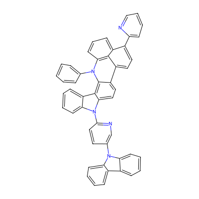 c1ccc(N2c3cccc4c(-c5ccccn5)ccc(c34)-c3ccc4c(c32)c2ccccc2n4-c2ccc(-n3c4ccccc4c4ccccc43)cn2)cc1